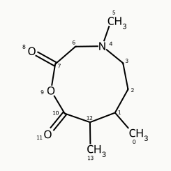 CC1CCN(C)CC(=O)OC(=O)C1C